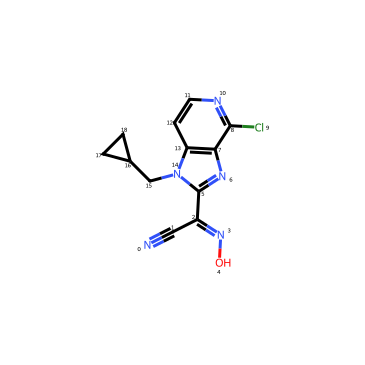 N#CC(=NO)c1nc2c(Cl)nccc2n1CC1CC1